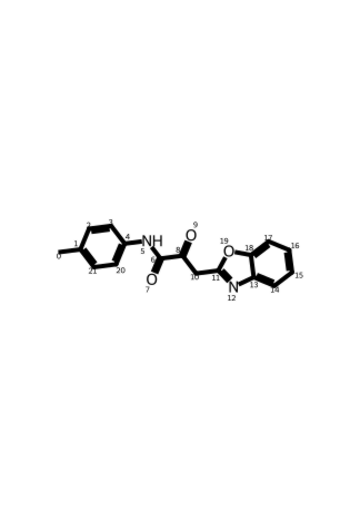 Cc1ccc(NC(=O)C(=O)Cc2nc3ccccc3o2)cc1